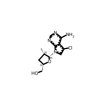 C[C@H]1C[C@@H](CO)O[C@H]1n1cc(Cl)c2c(N)ncnc21